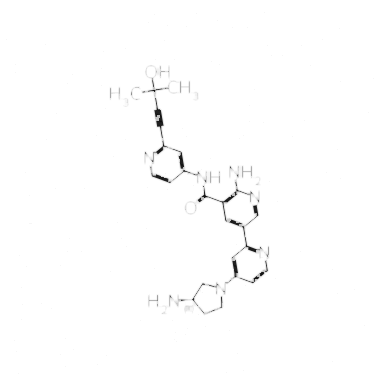 CC(C)(O)C#Cc1cc(NC(=O)c2cc(-c3cc(N4CC[C@@H](N)C4)ccn3)cnc2N)ccn1